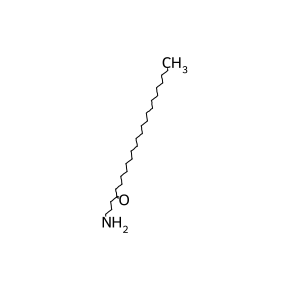 CCCCCCCCCCCCCCCCCCCCCC(=O)CCCN